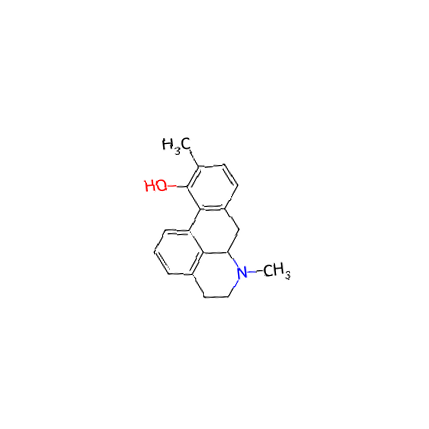 Cc1ccc2c(c1O)-c1cccc3c1C(C2)N(C)CC3